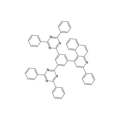 c1ccc(-c2cc(-c3cc(-c4nc(-c5ccccc5)nc(-c5ccccc5)n4)cc(-c4nc(-c5ccccc5)nc(-c5ccccc5)n4)c3)c3c(ccc4ccccc43)n2)cc1